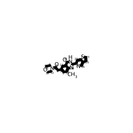 Cc1cc(CC(=O)N2CCOCC2)cc2c(=O)[nH]c(-c3cc4sccc4cn3)nc12